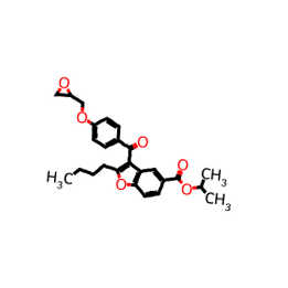 CCCCc1oc2ccc(C(=O)OC(C)C)cc2c1C(=O)c1ccc(OCC2CO2)cc1